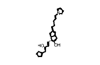 O[C@H](/C=C/[C@@H]1C2CC(CCCCCN3CCCC3)=CC2C[C@H]1O)CC1CCCC1